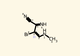 CN/C=C(/Br)C(=N)C#N